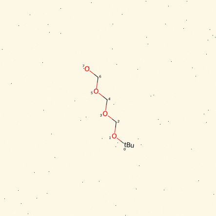 CC(C)(C)OCOCOC[O]